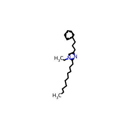 CCCCCCCCCCc1nc(CCCc2ccccc2)cn1CC